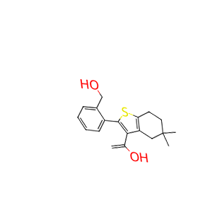 C=C(O)c1c(-c2ccccc2CO)sc2c1CC(C)(C)CC2